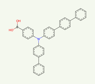 OB(O)c1ccc(N(c2ccc(-c3ccccc3)cc2)c2ccc(-c3ccc(-c4ccccc4)cc3)cc2)cc1